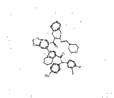 O=C(c1cc(-c2cc3c(cc2C(=O)N2Cc4ccccc4C[C@H]2CCN2CCOCC2)OCO3)n2c1CCCC2)N(c1ccc(O)cc1)c1ccc(F)c(F)c1